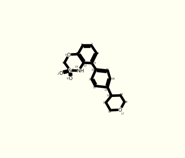 O=S1(=O)COc2cccc(-c3ccc(C4CCOCC4)cc3)c2N1